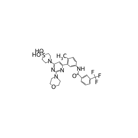 Cc1ccc(NC(=O)c2cccc(C(F)(F)F)c2)cc1-c1cc(N2CCS(O)(O)CC2)nc(N2CCOCC2)n1